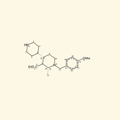 CCOC(=O)C1[C@H](C2CCNCC2)CCN(Cc2ccc(OC)cc2)[C@@H]1C